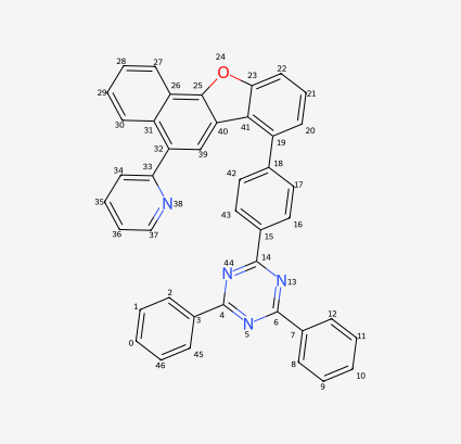 c1ccc(-c2nc(-c3ccccc3)nc(-c3ccc(-c4cccc5oc6c7ccccc7c(-c7ccccn7)cc6c45)cc3)n2)cc1